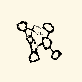 CC1(C)c2ccccc2-n2cc3c4ccccc4n(-c4cc(-c5ccccc5)cc(-c5ccccc5)c4)c3c21